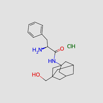 Cl.N[C@@H](Cc1ccccc1)C(=O)NC12CC3CC(CC(CO)(C3)C1)C2